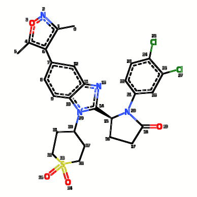 Cc1noc(C)c1-c1ccc2c(c1)nc([C@@H]1CCC(=O)N1c1ccc(Cl)c(Cl)c1)n2C1CCS(=O)(=O)CC1